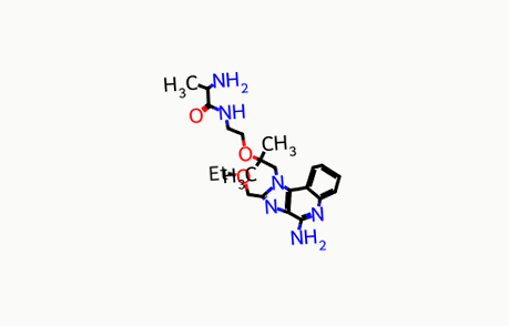 CCOCc1nc2c(N)nc3ccccc3c2n1CC(C)(C)OCCNC(=O)C(C)N